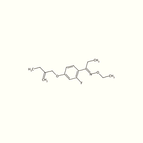 C=C(CC)COc1ccc(/C(CC)=N/OCC)c(F)c1